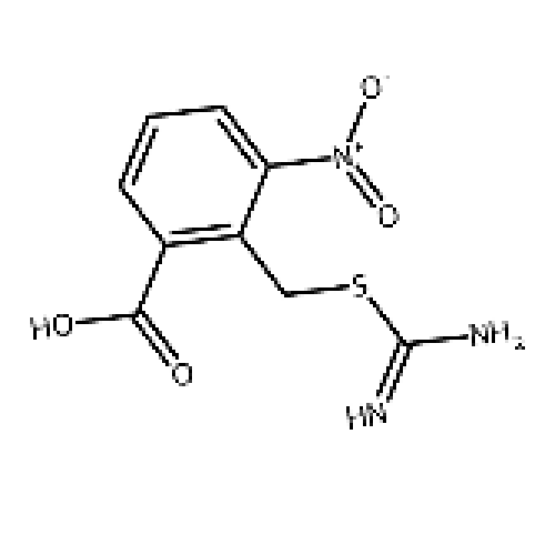 N=C(N)SCc1c(C(=O)O)cccc1[N+](=O)[O-]